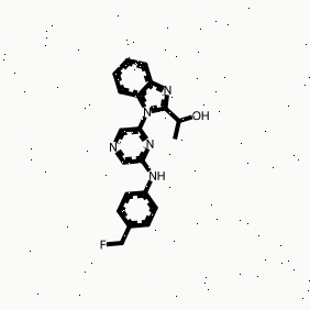 CC(O)c1nc2ccccc2n1-c1cncc(Nc2ccc(CF)cc2)n1